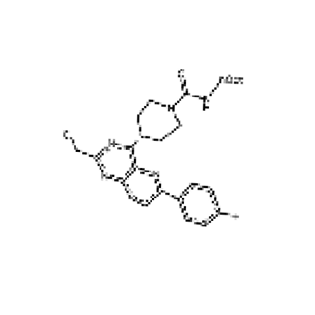 CCCCCCCCNC(=O)N1CCN(c2nc(CCl)nc3ccc(-c4ccc(F)cc4)nc23)CC1